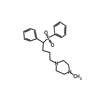 CN1CCN(CCCC(c2ccccc2)S(=O)(=O)c2ccccc2)CC1